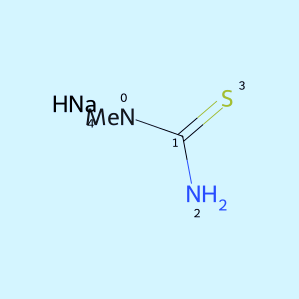 CNC(N)=S.[NaH]